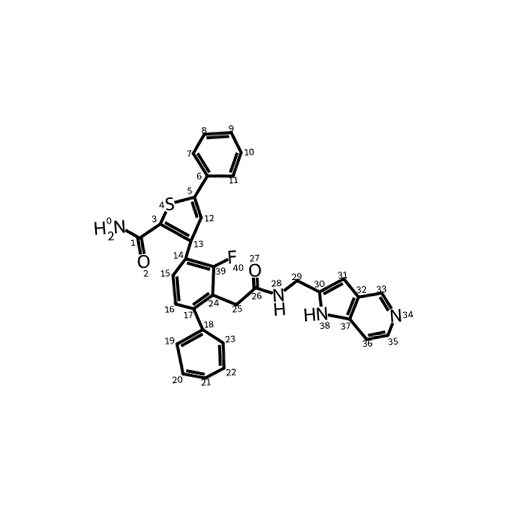 NC(=O)c1sc(-c2ccccc2)cc1-c1ccc(-c2ccccc2)c(CC(=O)NCc2cc3cnccc3[nH]2)c1F